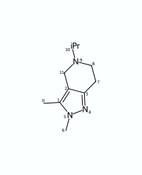 Cc1c2c(nn1C)CCN(C(C)C)C2